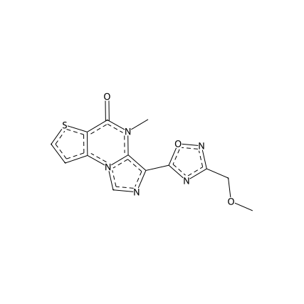 COCc1noc(-c2ncn3c4ccsc4c(=O)n(C)c23)n1